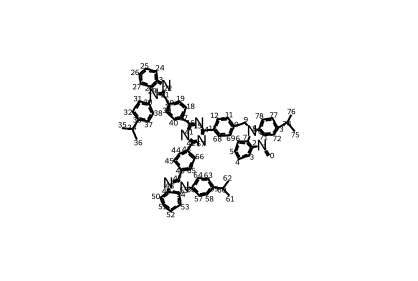 C=Nc1ccccc1N(Cc1ccc(-c2nc(-c3ccc(-c4nc5ccccc5n4-c4ccc(C(C)C)cc4)cc3)nc(-c3ccc(-c4nc5ccccc5n4-c4ccc(C(C)C)cc4)cc3)n2)cc1)c1ccc(C(C)C)cc1